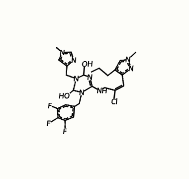 CCCc1cn(C)nc1/C=C(/Cl)CNC1=NC(O)N(Cc2cn(C)cn2)C(O)N1Cc1cc(F)c(F)c(F)c1